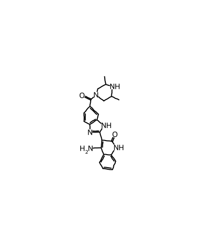 CC1CN(C(=O)c2ccc3nc(-c4c(N)c5ccccc5[nH]c4=O)[nH]c3c2)CC(C)N1